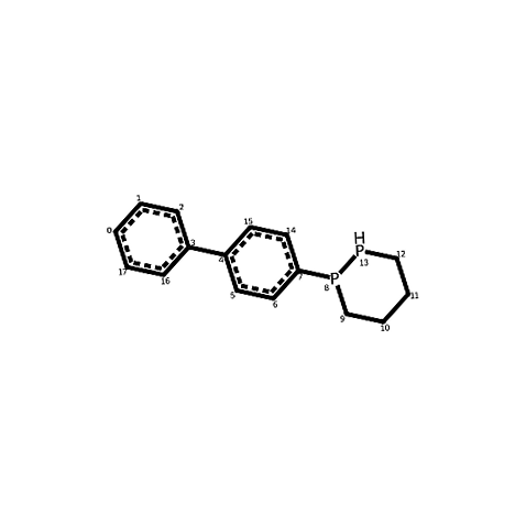 c1ccc(-c2ccc(P3CCCCP3)cc2)cc1